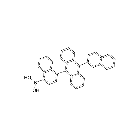 OB(O)c1ccc(-c2c3ccccc3c(-c3ccc4ccccc4c3)c3ccccc23)c2ccccc12